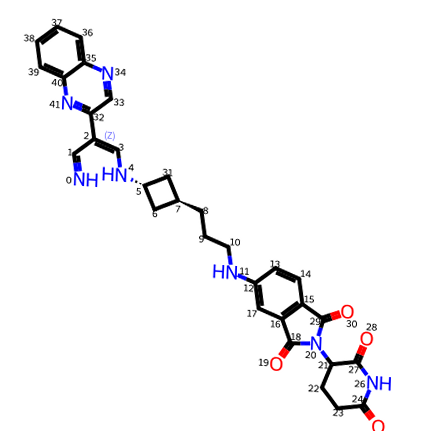 N=C/C(=C\N[C@H]1C[C@H](CCCNc2ccc3c(c2)C(=O)N(C2CCC(=O)NC2=O)C3=O)C1)c1cnc2ccccc2n1